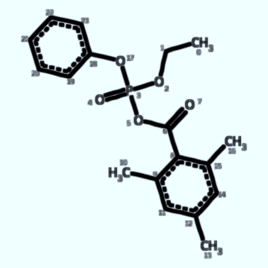 CCOP(=O)(OC(=O)c1c(C)cc(C)cc1C)Oc1ccccc1